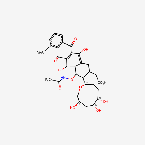 COc1cccc2c1C(=O)C1=C(C2=O)C(O)=C2CC([CH]C(=O)O)C([C@@H]3CC[C@H](O)[C@H](O)C[C@@H](O)CO3)C(ONC(=O)C(F)(F)F)C2C1O